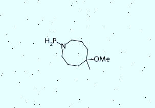 COC1(C)CCCN(P)CCC1